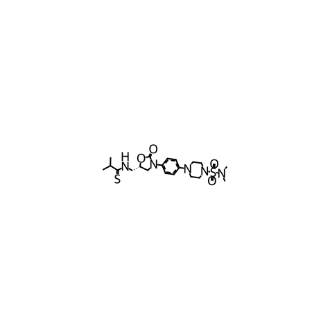 CC(C)C(=S)NC[C@H]1CN(c2ccc(N3CCN(S(=O)(=O)N(C)C)CC3)cc2)C(=O)O1